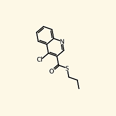 CCCSC(=O)c1cnc2ccccc2c1Cl